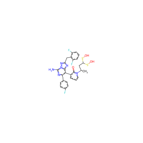 CC(CC(SO)SO)n1cccc(-c2c(-c3ccc(F)cc3)nc(N)n3nc(Cc4c(F)cccc4F)nc23)c1=O